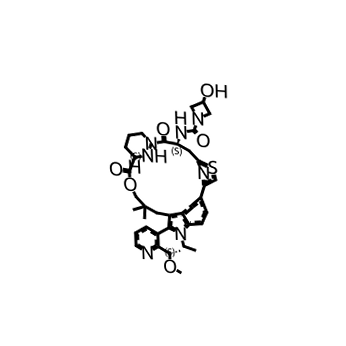 CCn1c(-c2cccnc2[C@H](C)OC)c2c3cc(ccc31)-c1csc(n1)C[C@H](NC(=O)N1CC(O)C1)C(=O)N1CCC[C@H](N1)C(=O)OCC(C)(C)C2